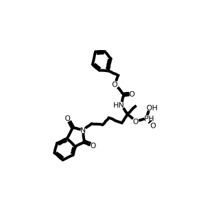 CC(CCCCN1C(=O)c2ccccc2C1=O)(NC(=O)OCc1ccccc1)O[PH](=O)O